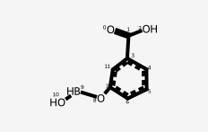 O=C(O)c1cccc(OBO)c1